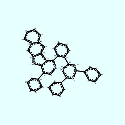 c1ccc(-c2nc(-c3ccccc3)nc(-c3ccccc3-c3ncc(-c4ccccc4)c4oc5cc6ccccc6cc5c34)n2)cc1